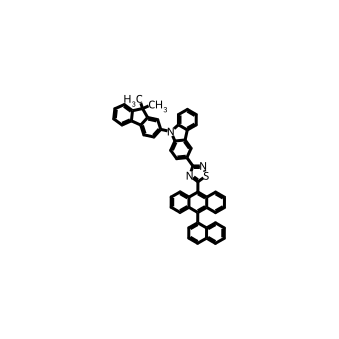 CC1(C)c2ccccc2-c2ccc(-n3c4ccccc4c4cc(-c5nsc(-c6c7ccccc7c(-c7cccc8ccccc78)c7ccccc67)n5)ccc43)cc21